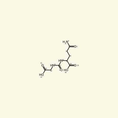 NC(=O)CCC(NC(=O)NCC(=O)O)C(=O)O